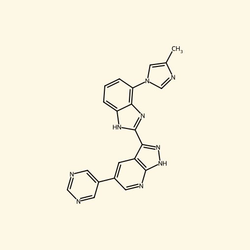 Cc1cn(-c2cccc3[nH]c(-c4n[nH]c5ncc(-c6cncnc6)cc45)nc23)cn1